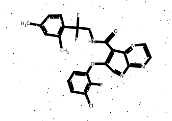 Cc1ccc(C(F)(F)CNC(=O)c2c(Oc3cccc(Cl)c3F)cnc3nccnc23)c(C)c1